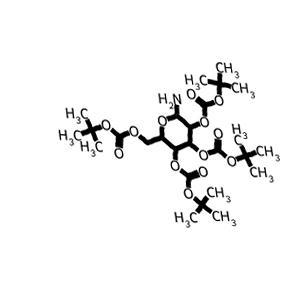 CC(C)(C)OC(=O)OCC1OC(N)C(OC(=O)OC(C)(C)C)C(OC(=O)OC(C)(C)C)C1OC(=O)OC(C)(C)C